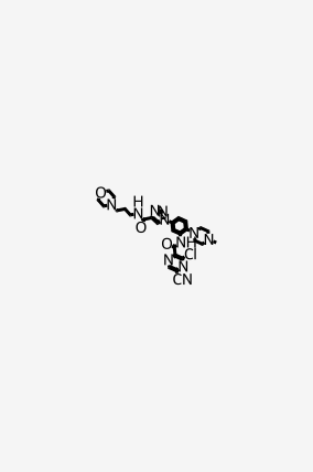 CN1CCN(c2ccc(-n3cc(C(=O)NCCCN4CCOCC4)nn3)cc2NC(=O)c2ncc(C#N)nc2Cl)CC1